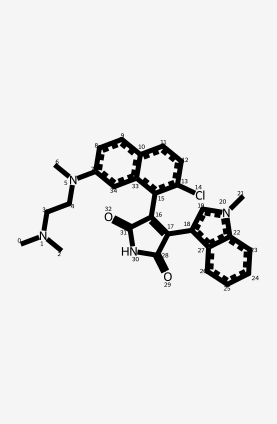 CN(C)CCN(C)c1ccc2ccc(Cl)c(C3=C(c4cn(C)c5ccccc45)C(=O)NC3=O)c2c1